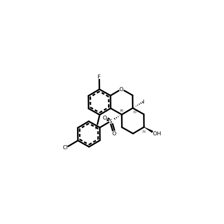 O=S(=O)(c1ccc(Cl)cc1)[C@@]12CC[C@H](O)C[C@]1(I)COc1c(F)ccc(F)c12